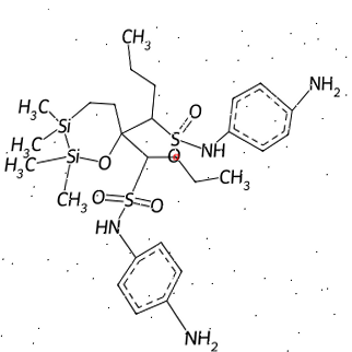 CCCC(C1(C(CCC)S(=O)(=O)Nc2ccc(N)cc2)CC[Si](C)(C)[Si](C)(C)O1)S(=O)(=O)Nc1ccc(N)cc1